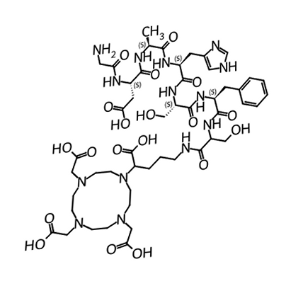 C[C@H](NC(=O)[C@H](CC(=O)O)NC(=O)CN)C(=O)N[C@@H](Cc1c[nH]cn1)C(=O)N[C@@H](CO)C(=O)N[C@@H](Cc1ccccc1)C(=O)NC(CO)C(=O)NCCCC(C(=O)O)N1CCN(CC(=O)O)CCN(CC(=O)O)CCN(CC(=O)O)CC1